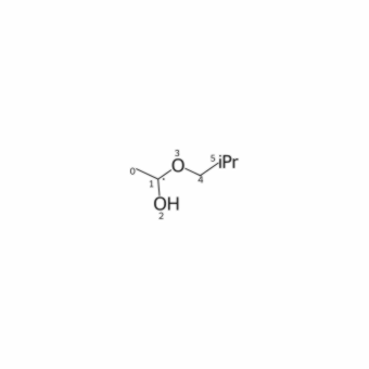 C[C](O)OCC(C)C